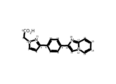 O=C(O)Cn1ccc(-c2ccc(-c3cn4ccccc4n3)cc2)n1